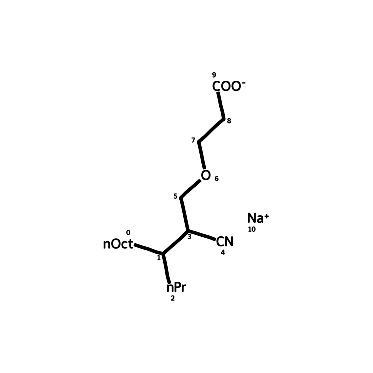 CCCCCCCCC(CCC)C(C#N)COCCC(=O)[O-].[Na+]